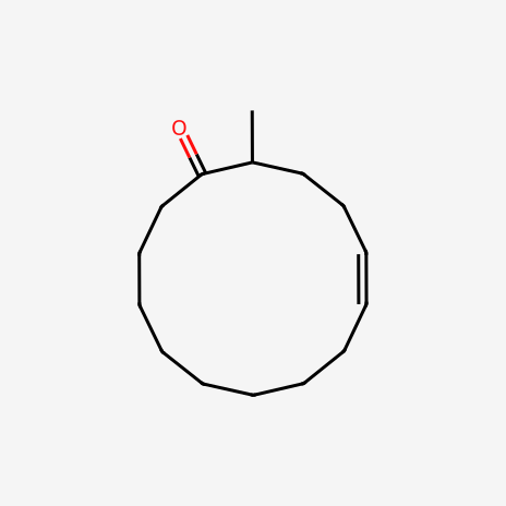 CC1CCC=CCCCCCCCCC1=O